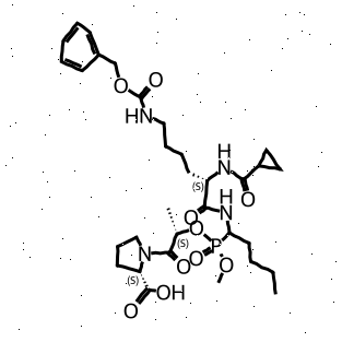 CCCCC(NC(=O)[C@H](CCCCNC(=O)OCc1ccccc1)NC(=O)C1CC1)P(=O)(OC)O[C@@H](C)C(=O)N1CCC[C@H]1C(=O)O